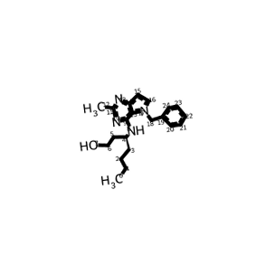 CCCC[C@@H](CCO)Nc1nc(C)nc2ccn(Cc3ccccc3)c12